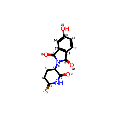 O=C1NC(=S)CCC1N1C(=O)c2ccc(O)cc2C1=O